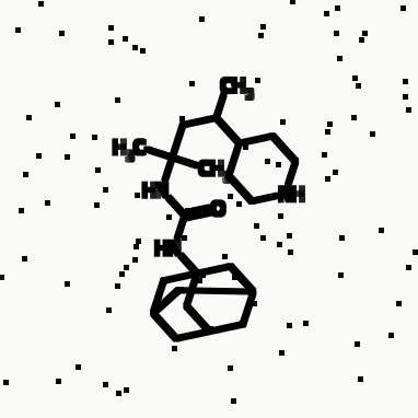 CC(CC(C)(C)NC(=O)NC12CC3CC(CC(C3)C1)C2)C1CCNCC1